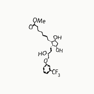 COC(=O)CCCC=CC[C@@H]1[C@@H](C=C[C@@H](O)COc2cccc(C(F)(F)F)c2)[C@H](O)C[C@@H]1O